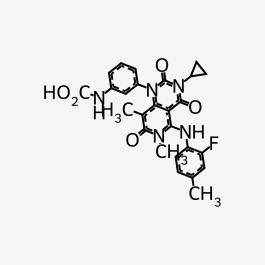 Cc1ccc(Nc2c3c(=O)n(C4CC4)c(=O)n(-c4cccc(NC(=O)O)c4)c3c(C)c(=O)n2C)c(F)c1